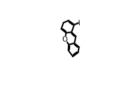 IC1=CCC=C2Oc3ccccc3C=C12